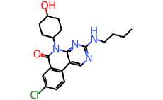 CCCCNc1ncc2c3ccc(Cl)cc3c(=O)n(C3CCC(O)CC3)c2n1